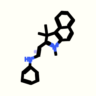 C[N+]1=C(/C=C/Nc2ccccc2)C(C)(C)c2c1ccc1ccccc21